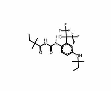 CCC(C)(C)Nc1ccc(NC(=O)BC(=O)C(C)(C)CC)c(C(O)(C(F)(F)F)C(F)(F)F)c1